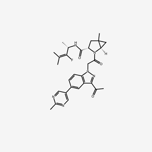 CC(=O)c1nn(CC(=O)N2[C@H](C(=O)N[C@@H](C)C(F)=C(C)C)CC3(C)C[C@@H]23)c2ccc(-c3cnc(C)nc3)cc12